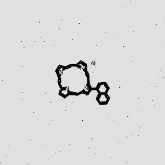 C1=Cc2cc3cc(-c4cccc5ccccc45)c(cc4nc(cc5ccc(cc1n2)[nH]5)C=C4)[nH]3.[Al]